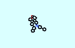 c1ccc(-c2ccc(N(c3ccc4c(c3)C3(c5ccccc5-c5ccccc53)c3c-4ccc4ccccc34)c3ccc4ccccc4c3)cc2)cc1